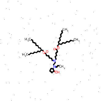 CCCCCCCCC(CCCCCCCC)COC(=O)CCCCCN(CCCCCC(=O)OCC(CCCCCCCC)CCCCCCCC)CCN(CCC)C1CCCC1O